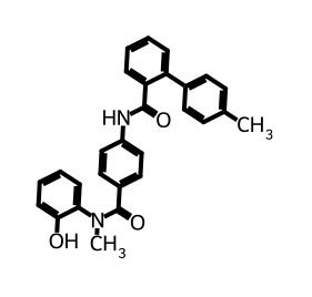 Cc1ccc(-c2ccccc2C(=O)Nc2ccc(C(=O)N(C)c3ccccc3O)cc2)cc1